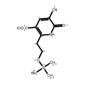 CCOC(=O)c1cc(C#N)c(=O)[nH]c1CCO[Si](C)(C)C(C)(C)C